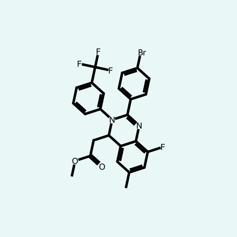 COC(=O)CC1c2cc(C)cc(F)c2N=C(c2ccc(Br)cc2)N1c1cccc(C(F)(F)F)c1